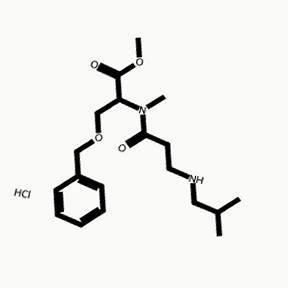 COC(=O)C(COCc1ccccc1)N(C)C(=O)CCNCC(C)C.Cl